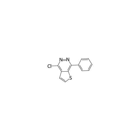 Clc1nnc(-c2ccccc2)c2sccc12